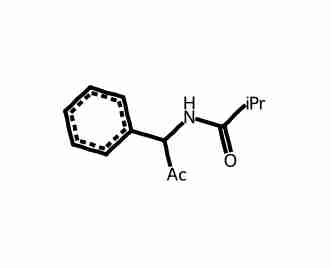 CC(=O)C(NC(=O)C(C)C)c1ccccc1